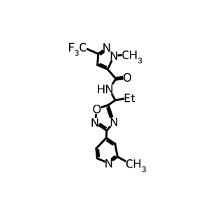 CCC(NC(=O)c1cc(C(F)(F)F)nn1C)c1nc(-c2ccnc(C)c2)no1